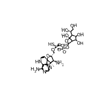 CO[C@]1(C)[C@H](N)[C@@H](COP(=O)(S)OP(=O)(O)OC2OC3(O)C2C(O)C(O)C3[C@@H](O)CO)OC12C=CNc1c(N)ncnc12